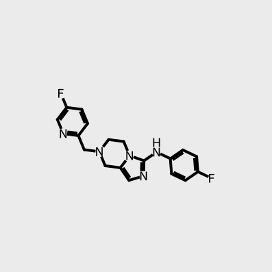 Fc1ccc(Nc2ncc3n2CCN(Cc2ccc(F)cn2)C3)cc1